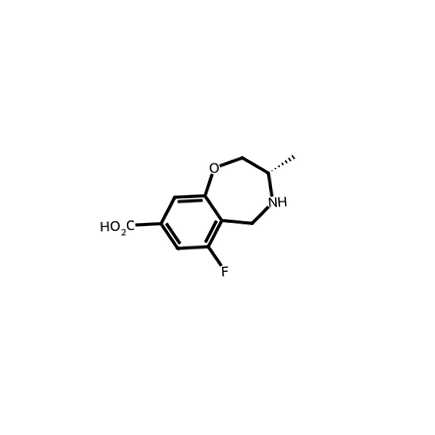 C[C@H]1COc2cc(C(=O)O)cc(F)c2CN1